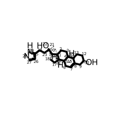 C[C@]12CC[C@H]3[C@@H](CC=C4C[C@@H](O)CC[C@@]43C)[C@@H]1CC[C@@H]2[C@](C)(O)CCc1ccn[nH]1